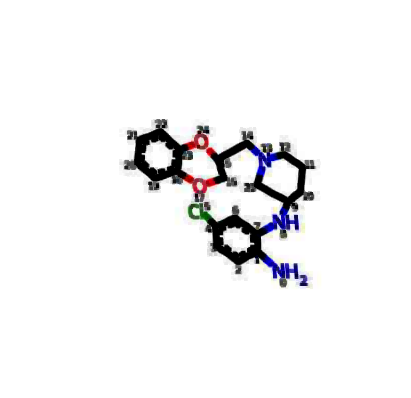 Nc1ccc(Cl)cc1NC1CCCN(CC2COc3ccccc3O2)C1